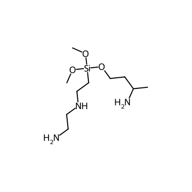 CO[Si](CCNCCN)(OC)OCCC(C)N